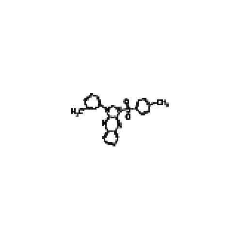 Cc1ccc(S(=O)(=O)N2CN(c3cccc(C)c3)c3nc4ccccc4nc32)cc1